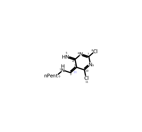 CCCCCN/C=C1\C(=N)N=C(Cl)N=C1Cl